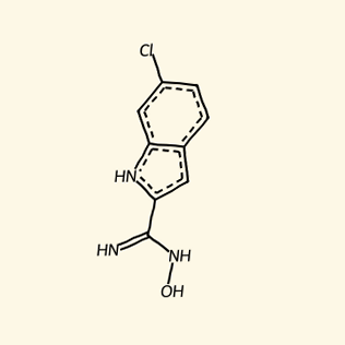 N=C(NO)c1cc2ccc(Cl)cc2[nH]1